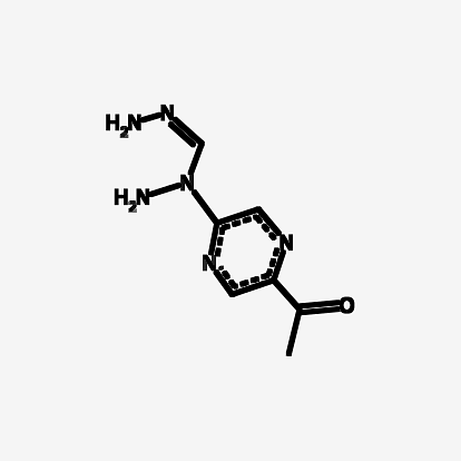 CC(=O)c1cnc(N(N)/C=N\N)cn1